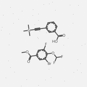 COC(=O)c1cc(F)c(OC(F)F)c(Br)c1.C[Si](C)(C)C#Cc1cccc(C(=O)O)c1